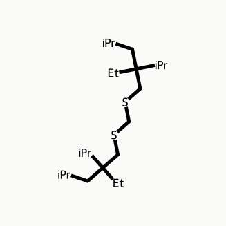 CCC(CSCSCC(CC)(CC(C)C)C(C)C)(CC(C)C)C(C)C